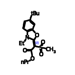 CCCOC(=O)/C(=C1/Oc2cc(C(C)(C)C)ccc2N1CC)S(C)(=O)=O